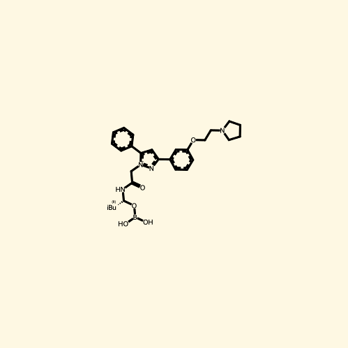 CC[C@@H](C)C(NC(=O)Cn1nc(-c2cccc(OCCN3CCCC3)c2)cc1-c1ccccc1)OB(O)O